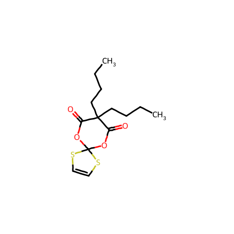 CCCCC1(CCCC)C(=O)OC2(OC1=O)SC=CS2